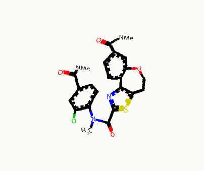 CNC(=O)c1ccc(N(C)C(=O)c2nc3c(s2)CCOc2cc(C(=O)NC)ccc2-3)c(Cl)c1